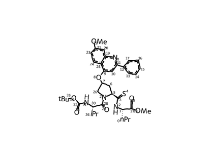 CCC[C@H](NC(=S)[C@@H]1CC(Oc2cc(-c3ccccc3)nc3cc(OC)ccc23)CN1C(=O)[C@@H](NC(=O)OC(C)(C)C)C(C)C)C(=O)OC